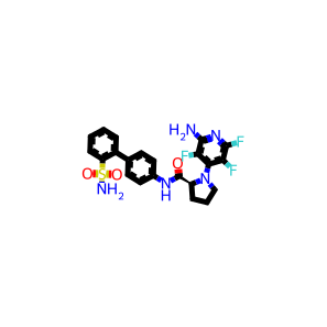 Nc1nc(F)c(F)c(N2CCC[C@H]2C(=O)Nc2ccc(-c3ccccc3S(N)(=O)=O)cc2)c1F